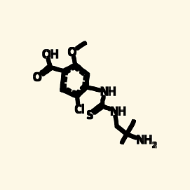 COc1cc(NC(=S)NCC(C)(C)N)c(Cl)cc1C(=O)O